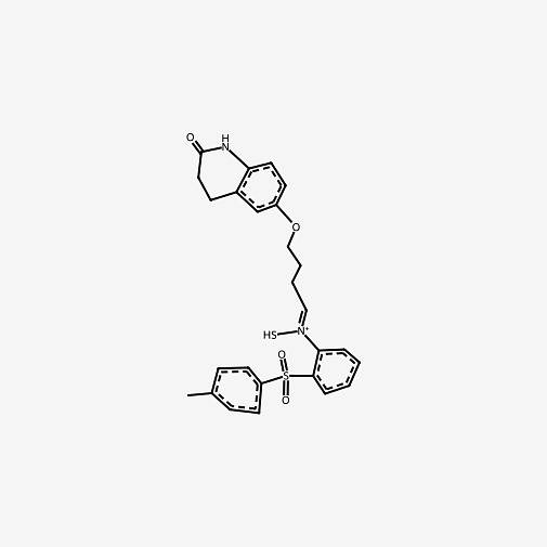 Cc1ccc(S(=O)(=O)c2ccccc2[N+](S)=CCCCOc2ccc3c(c2)CCC(=O)N3)cc1